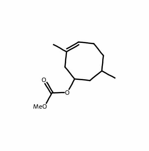 COC(=O)OC1CC(C)=CCCC(C)C1